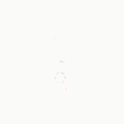 O=C(CCC1CC2CCC1C2)Oc1ccc(O)cc1